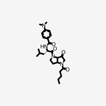 CCCCC(=O)N1CC(=O)C2C1CCN2C(=O)[C@H](CC(C)C)NC(=O)c1ccc(N(C)C)cc1